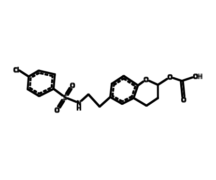 O=C(O)OC1CCc2cc(CCNS(=O)(=O)c3ccc(Cl)cc3)ccc2O1